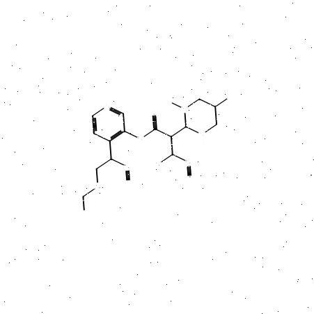 CCNCC(N=O)c1ccncc1NC(=O)C(C(N)N=O)C1NCC(F)CN1C